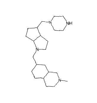 CN1CCC2CCC(CN3CCC4C(CN5CCNCC5)CCC43)CC2C1